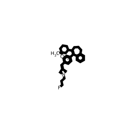 CC1(C)CCCC(C2=C(c3ccc(C=C4CN(CCCF)C4)cc3)c3ccccc3CCC2)C1